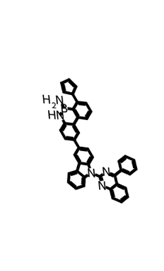 NB1Nc2ccc(-c3ccc4c(c3)c3ccccc3n4-c3nc(-c4ccccc4)c4ccccc4n3)cc2-c2cccc(C3C=CC=C3)c21